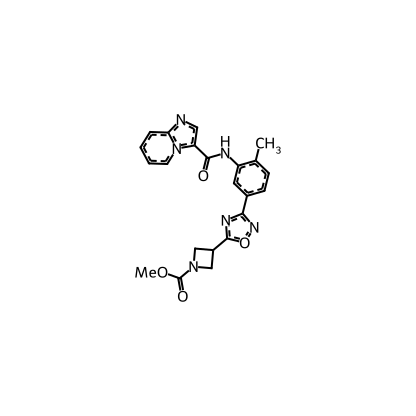 COC(=O)N1CC(c2nc(-c3ccc(C)c(NC(=O)c4cnc5ccccn45)c3)no2)C1